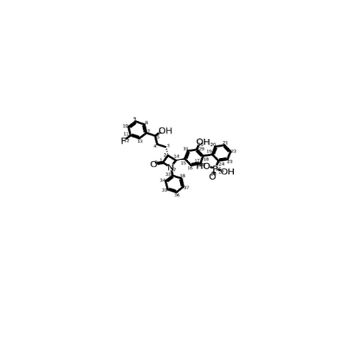 O=C1[C@H](CCC(O)c2cccc(F)c2)[C@@H](c2ccc(-c3ccccc3P(=O)(O)O)c(O)c2)N1c1ccccc1